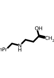 C=C(O)CCNCCCC